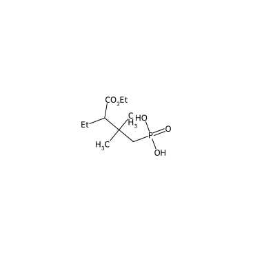 CCOC(=O)C(CC)C(C)(C)CP(=O)(O)O